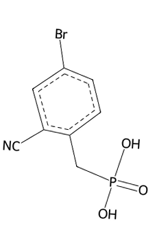 N#Cc1cc(Br)ccc1CP(=O)(O)O